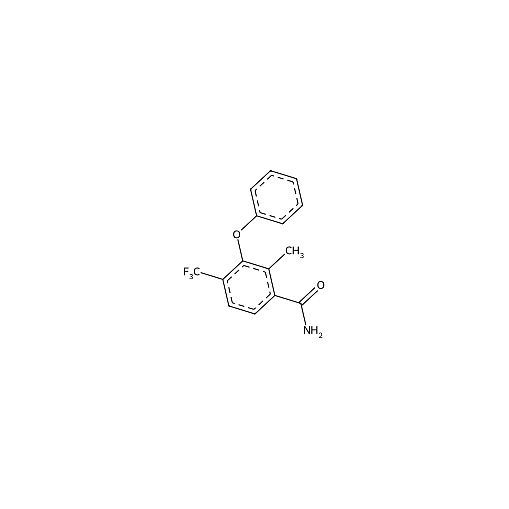 Cc1c(C(N)=O)ccc(C(F)(F)F)c1Oc1ccccc1